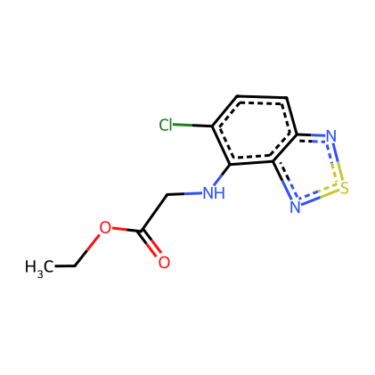 CCOC(=O)CNc1c(Cl)ccc2nsnc12